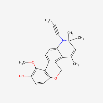 CC#CN1c2ccc3c(c2C(C)=CC1(C)C)COc1ccc(O)c(OC)c1-3